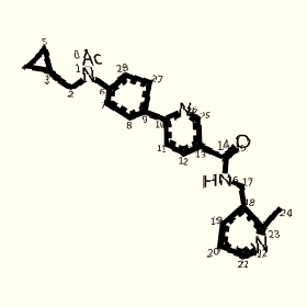 CC(=O)N(CC1CC1)c1ccc(-c2ccc(C(=O)NCc3cccnc3C)cn2)cc1